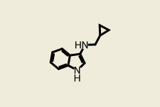 c1ccc2c(NCC3CC3)c[nH]c2c1